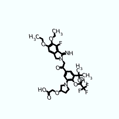 CCOc1cc2c(c(F)c1OCC)C(=N)N(CC(=O)c1cc(N3CCC(OCC(=O)O)C3)c(OC(=O)C(F)(F)F)c(C(C)(C)C)c1)C2